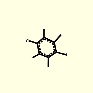 Cc1c(I)c(C)c(I)c(Cl)c1I